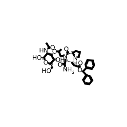 CC(=O)N[C@@H]1[C@@H](OC(C)CN(C(=O)[C@@H]2CCCN2)[C@H](CCC(=O)OC(c2ccccc2)c2ccccc2)C(N)=O)[C@H](O)[C@@H](CO)O[C@@H]1O